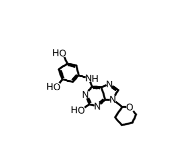 Oc1cc(O)cc(Nc2nc(O)nc3c2ncn3C2CCCCO2)c1